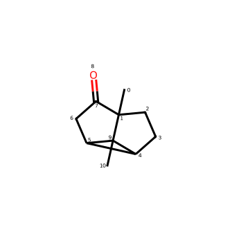 CC12CCC3C(CC1=O)C32C